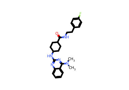 CN(C)c1nc(NC2CCC(C(=O)NCCc3ccc(F)cc3)CC2)nc2ccccc12